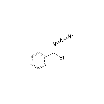 CCC(N=[N+]=[N-])c1ccccc1